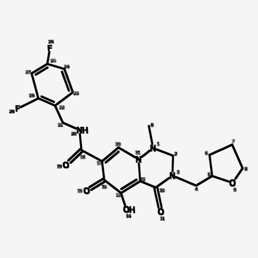 CN1CN(CC2CCCO2)C(=O)c2c(O)c(=O)c(C(=O)NCc3ccc(F)cc3F)cn21